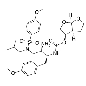 COc1ccc(C[C@H](NC(=O)O[C@H]2CO[C@H]3OCC[C@H]32)[C@H](N)CN(CC(C)C)S(=O)(=O)c2ccc(OC)cc2)cc1